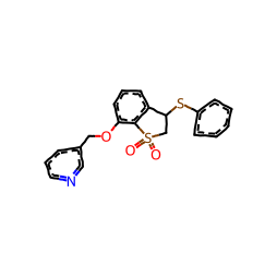 O=S1(=O)CC(Sc2ccccc2)c2cccc(OCc3cccnc3)c21